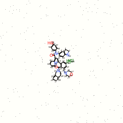 CN1CCc2cc(N(C(=O)c3cc(-c4cc(Cl)ccc4C(=O)N4Cc5ccccc5C[C@H]4CN4CCOCC4)n4ccccc34)c3ccc(O)cc3)ccc21.Cl.Cl